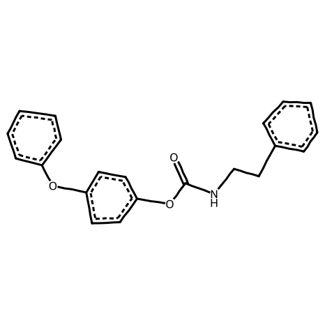 O=C(NCCc1ccccc1)Oc1ccc(Oc2ccccc2)cc1